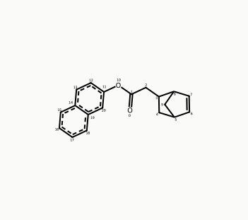 O=C(CC1CC2C=CC1C2)Oc1ccc2ccccc2c1